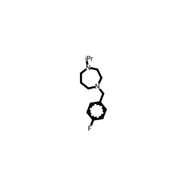 CC(C)N1CCCN(Cc2ccc(F)cc2)CC1